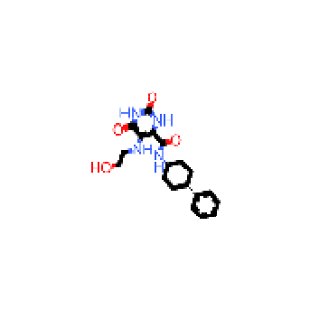 O=C(N[C@H]1CC[C@@H](c2ccccc2)CC1)c1[nH]c(=O)[nH]c(=O)c1NCCO